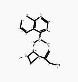 C=C(CC#N)N1C[C@H](C)[C@@H]1CN(CC)c1ncnc(C)c1/C=C\C